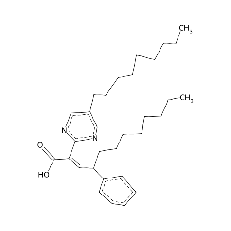 CCCCCCCCCc1cnc(/C(=C\C(CCCCCCCC)c2ccccc2)C(=O)O)nc1